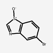 [O-][s+]1cnc2cc(Br)ccc21